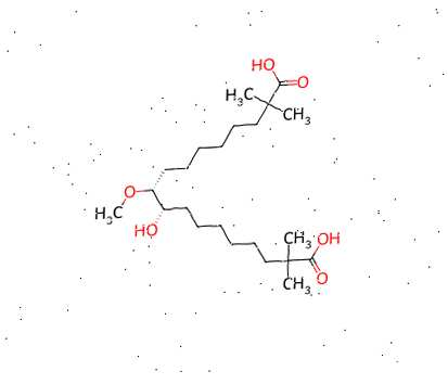 CO[C@H](CCCCCCC(C)(C)C(=O)O)[C@@H](O)CCCCCCC(C)(C)C(=O)O